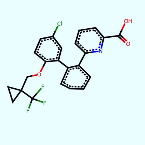 O=C(O)c1cccc(-c2ccccc2-c2cc(Cl)ccc2OCC2(C(F)(F)F)CC2)n1